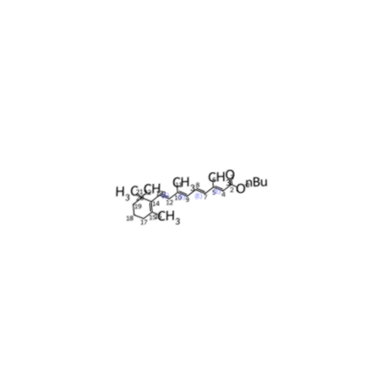 CCCCOC(=O)/C=C(C)/C=C/C=C(C)/C=C/C1=C(C)CCCC1(C)C